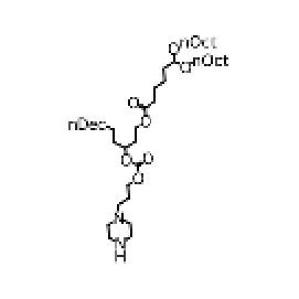 CCCCCCCCCCCCC(CCOC(=O)CCCCC(OCCCCCCCC)OCCCCCCCC)OC(=O)OCCCN1CCNCC1